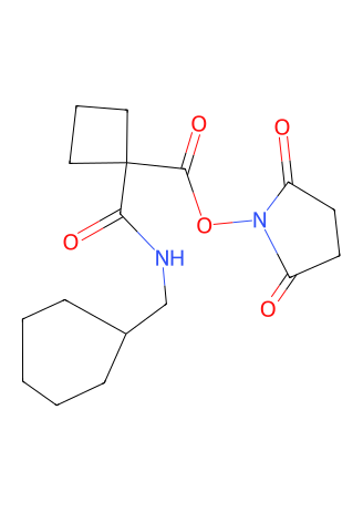 O=C1CCC(=O)N1OC(=O)C1(C(=O)NCC2CCCCC2)CCC1